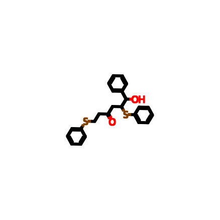 O=C(CCSc1ccccc1)CC(Sc1ccccc1)C(O)c1ccccc1